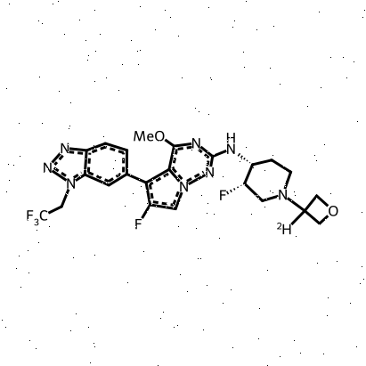 [2H]C1(N2CC[C@@H](Nc3nc(OC)c4c(-c5ccc6nnn(CC(F)(F)F)c6c5)c(F)cn4n3)[C@@H](F)C2)COC1